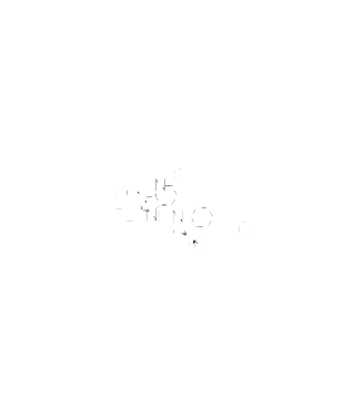 CS(=O)(=O)c1cc(C2CCCOC2)ccc1Nc1cc(Cl)nc2c1nc(C(F)F)n2C1CCCCO1